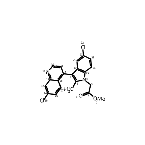 COC(=O)Cn1c(C)c(-c2ccnc3cc(Cl)ccc23)c2cc(Cl)ccc21